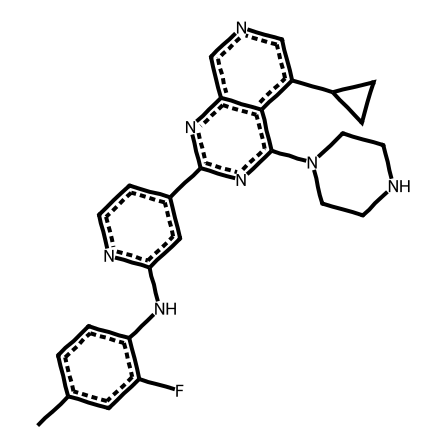 Cc1ccc(Nc2cc(-c3nc(N4CCNCC4)c4c(C5CC5)cncc4n3)ccn2)c(F)c1